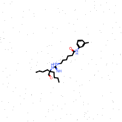 CCCCC(C=O)(CCCC)NC(=N)NCCCCCC(=O)Nc1cccc(C)c1